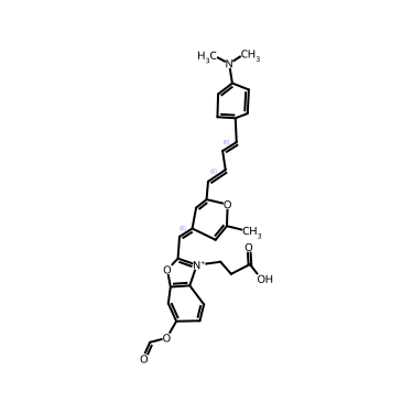 CC1=C/C(=C\c2oc3cc(OC=O)ccc3[n+]2CCC(=O)O)C=C(/C=C/C=C/c2ccc(N(C)C)cc2)O1